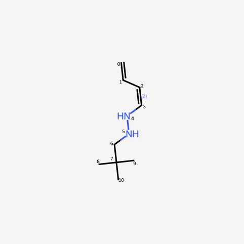 C=C/C=C\NNCC(C)(C)C